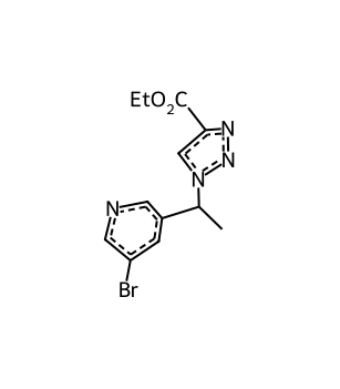 CCOC(=O)c1cn(C(C)c2cncc(Br)c2)nn1